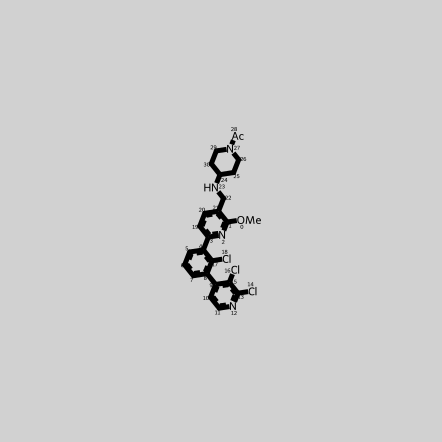 COc1nc(-c2cccc(-c3ccnc(Cl)c3Cl)c2Cl)ccc1CNC1CCN(C(C)=O)CC1